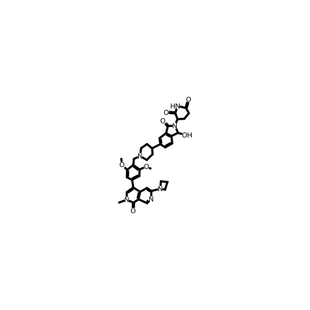 COc1cc(-c2cn(C)c(=O)c3cnc(N4CCC4)cc23)cc(OC)c1CN1CCC(c2ccc3c(c2)C(=O)N(C2CCC(=O)NC2=O)C3O)CC1